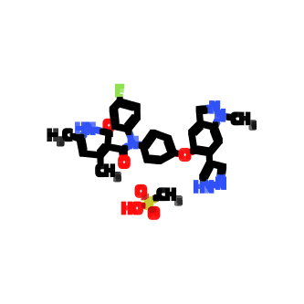 CS(=O)(=O)O.Cc1cc(C)c(C(=O)N(c2ccc(F)cc2)c2ccc(Oc3cc4cnn(C)c4cc3-c3cn[nH]c3)cc2)c(=O)[nH]1